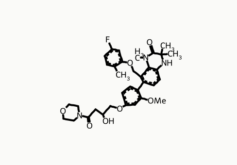 COc1cc(OCC(O)CC(=O)N2CCOCC2)ccc1-c1ccc2c(c1COc1cc(F)ccc1C)N(C)C(=O)C(C)(C)N2